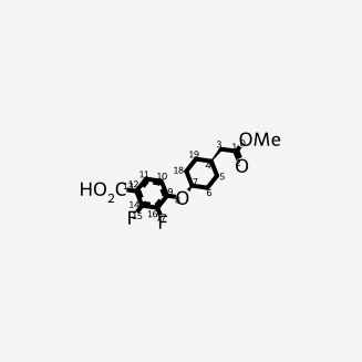 COC(=O)C[C@H]1CC[C@@H](Oc2ccc(C(=O)O)c(F)c2F)CC1